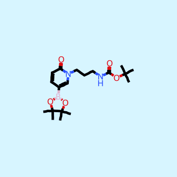 CC(C)(C)OC(=O)NCCCn1cc(B2OC(C)(C)C(C)(C)O2)ccc1=O